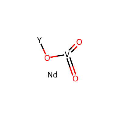 [Nd].[O]=[V](=[O])[O][Y]